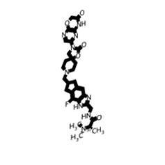 C[C@H](C(=O)NCc1nc2cc3c(c(F)c2[nH]1)CC(CN1CCC2(CC1)CN(c1cnc4c(n1)NC(=O)CO4)C(=O)O2)C3)N(C)C